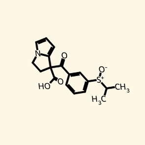 CC(C)[S+]([O-])c1cccc(C(=O)C2(C(=O)O)CCn3cccc32)c1